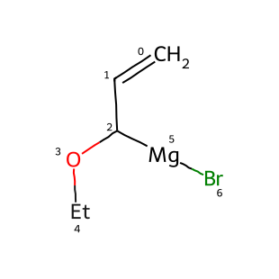 C=C[CH](OCC)[Mg][Br]